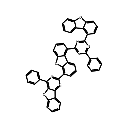 c1ccc(-c2nc(-c3cccc4oc5ccccc5c34)nc(-c3cccc4oc5c(-c6nc(-c7ccccc7)c7oc8ccccc8c7n6)cccc5c34)n2)cc1